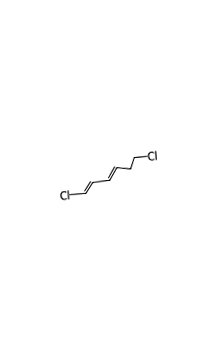 ClC=CC=CCCCl